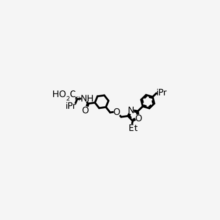 CCc1oc(-c2ccc(C(C)C)cc2)nc1COCC1CCCC(C(=O)N[C@H](C(=O)O)C(C)C)C1